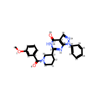 COc1cccc(C(=O)N2CCCC(c3nc4c(cnn4-c4ccccc4)c(=O)[nH]3)C2)c1